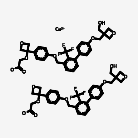 O=C([O-])COC1(c2ccc(OCc3cccc(-c4ccc(OCC5(CO)COC5)cc4)c3C(F)(F)F)cc2)COC1.O=C([O-])COC1(c2ccc(OCc3cccc(-c4ccc(OCC5(CO)COC5)cc4)c3C(F)(F)F)cc2)COC1.[Ca+2]